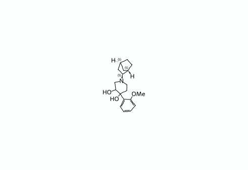 COc1ccccc1C1(O)CCN([C@H]2C[C@H]3CC[C@H]2C3)CC1O